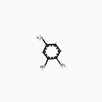 CC(C)(C)c1cc(N)ccc1N